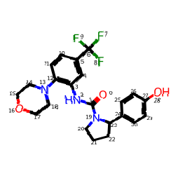 O=C(Nc1cc(C(F)(F)F)ccc1N1CCOCC1)N1CCCC1c1ccc(O)cc1